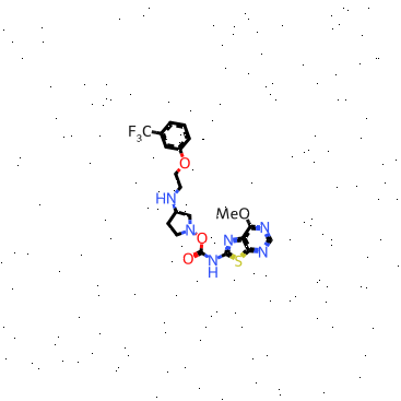 COc1ncnc2sc(NC(=O)ON3CCC(NCCOc4cccc(C(F)(F)F)c4)C3)nc12